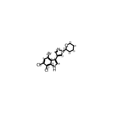 Clc1cc(Br)c2c(-c3cnn(C4CCCCO4)c3)c[nH]c2c1Cl